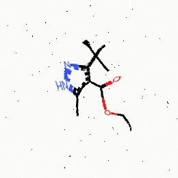 CCOC(=O)c1c(C(C)(C)C)n[nH]c1C